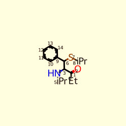 CCC(=O)C(NC(C)C)C(SC(C)C)c1ccccc1